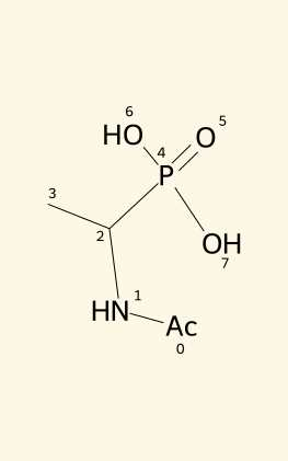 CC(=O)NC(C)P(=O)(O)O